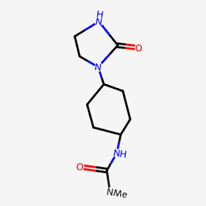 CNC(=O)NC1CCC(N2CCNC2=O)CC1